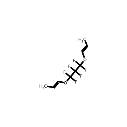 CC=COC(F)(F)C(F)(F)C(F)(F)OC=CC